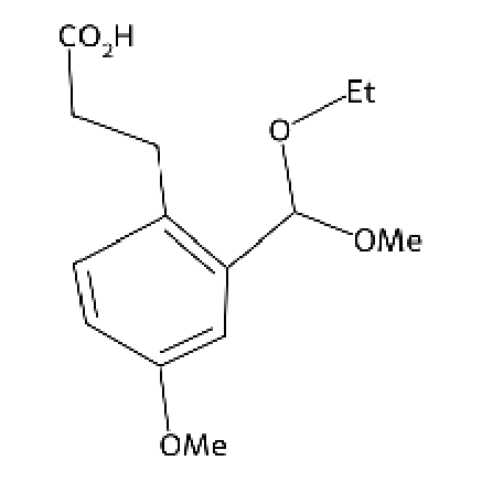 CCOC(OC)c1cc(OC)ccc1CCC(=O)O